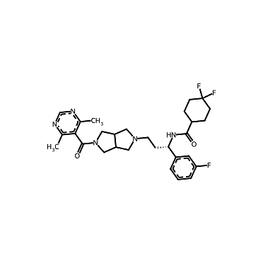 Cc1ncnc(C)c1C(=O)N1CC2CN(CC[C@H](NC(=O)C3CCC(F)(F)CC3)c3cccc(F)c3)CC2C1